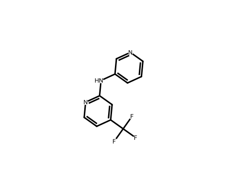 FC(F)(F)c1ccnc(Nc2cccnc2)c1